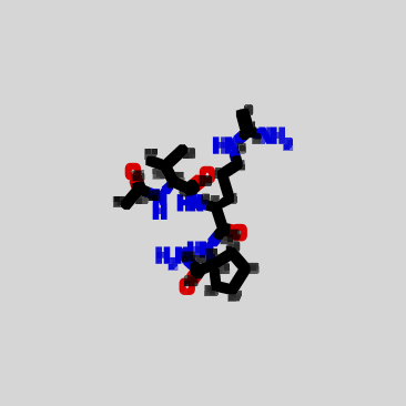 C=C(N)NCCC[C@H](NC(=O)[C@@H](NC(C)=O)C(C)C)C(=O)NC1(C(N)=O)CCCC1